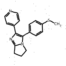 CSc1ccc(-c2c(-c3ccncc3)nc3n2CCC3)cc1